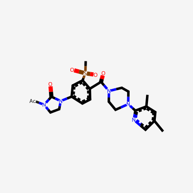 CC(=O)N1CCN(c2ccc(C(=O)N3CCN(c4ncc(C)cc4C)CC3)c(S(C)(=O)=O)c2)C1=O